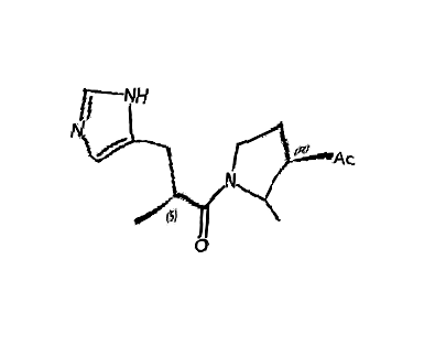 CC(=O)[C@@H]1CCN(C(=O)[C@@H](C)Cc2cnc[nH]2)C1C